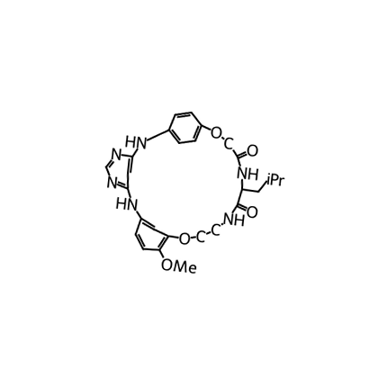 COc1ccc2cc1OCCNC(=O)C(CC(C)C)NC(=O)COc1ccc(cc1)Nc1cc(ncn1)N2